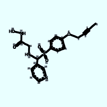 CC#CCOc1ccc(S(=O)(=O)C(NCC(=O)NO)c2cccnc2)cc1